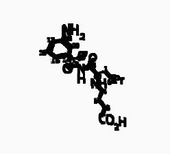 CC(C)C[C@H](NCCCC(=O)O)C(=O)NS(=O)(=O)c1cccc(N)c1